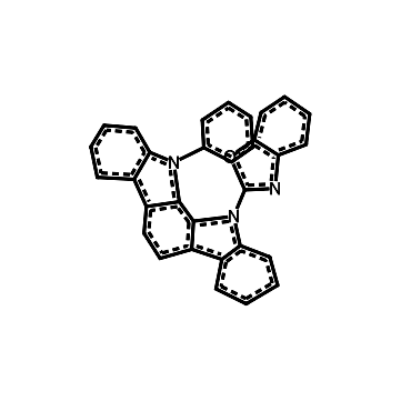 c1ccc(-n2c3ccccc3c3ccc4c5ccccc5n(-c5nc6ccccc6o5)c4c32)cc1